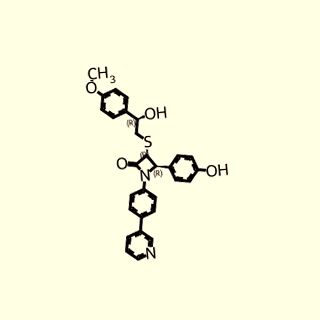 COc1ccc([C@@H](O)CS[C@H]2C(=O)N(c3ccc(-c4cccnc4)cc3)[C@@H]2c2ccc(O)cc2)cc1